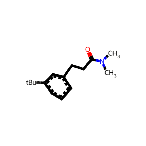 CN(C)C(=O)CCc1cccc(C(C)(C)C)c1